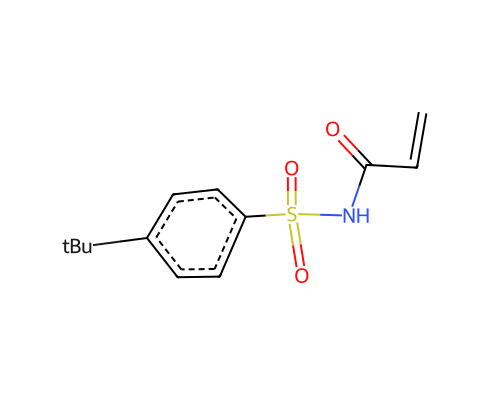 C=CC(=O)NS(=O)(=O)c1ccc(C(C)(C)C)cc1